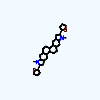 Cn1c(-c2cccs2)cc2cc3c(ccc4c5cc6cc(-c7cccs7)n(C)c6cc5ccc34)cc21